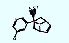 C#CCN1C2C=CC1CC(C#N)(c1cncc(Cl)c1)C2